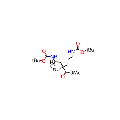 COC(=O)C(C#N)(CCCNC(=O)OC(C)(C)C)CC(C)NC(=O)OC(C)(C)C